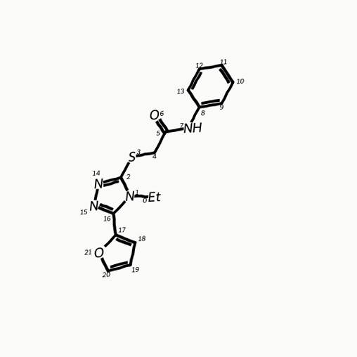 CCn1c(SCC(=O)Nc2ccccc2)nnc1-c1ccco1